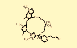 Cn1nc2nc1-c1cc(c(N)cc1F)Sc1c(F)cc3c(ccn3C)c1CCSCC(C)(C)CCC[C@]2(C)c1cccc(CCC=O)c1